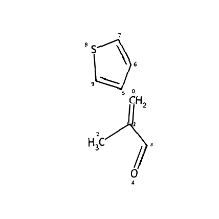 C=C(C)C=O.c1ccsc1